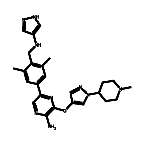 Cc1cc(-c2cnc(N)c(Oc3cnn(C4CCN(C)CC4)c3)n2)cc(C)c1CNc1cn[nH]c1